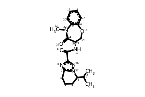 CC(C)C1CCCc2nc(C(=O)N[C@H]3COc4ccccc4N(C)C3=O)nn21